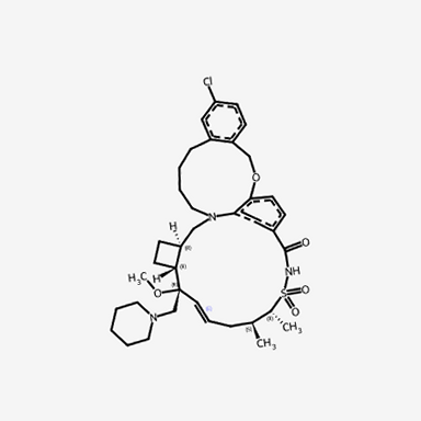 CO[C@@]1(CN2CCCCC2)/C=C/C[C@H](C)[C@@H](C)S(=O)(=O)NC(=O)c2ccc3c(c2)N(CCCCc2cc(Cl)ccc2CO3)C[C@@H]2CC[C@H]21